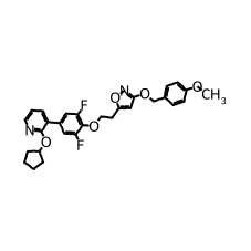 COc1ccc(COc2cc(CCOc3c(F)cc(-c4cccnc4OC4CCCC4)cc3F)on2)cc1